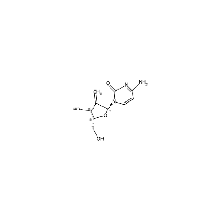 C=C1[C@H](O)[C@@H](CO)O[C@@H]1n1ccc(N)nc1=O